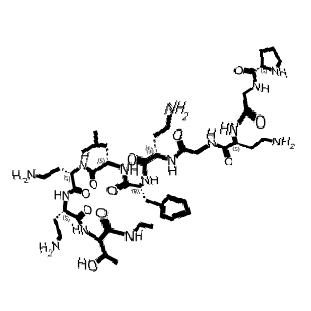 CCNC(=O)C(NC(=O)[C@H](CCN)NC(=O)[C@H](CCN)NC(=O)[C@H](CC(C)C)NC(=O)[C@@H](Cc1ccccc1)NC(=O)[C@H](CCN)NC(=O)CNC(=O)[C@H](CCN)NC(=O)CNC(=O)[C@@H]1CCCN1)C(C)O